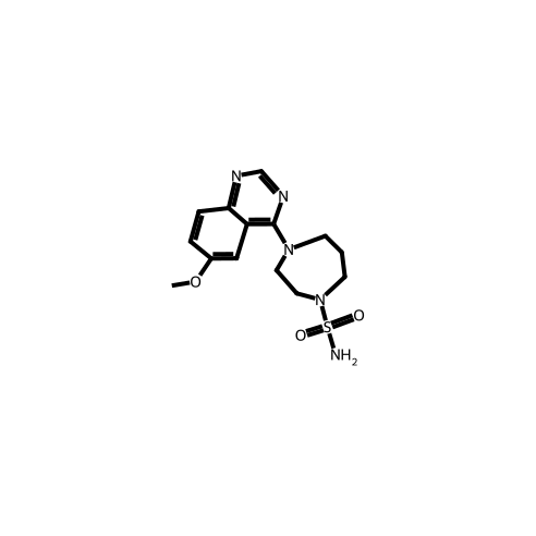 COc1ccc2ncnc(N3CCCN(S(N)(=O)=O)CC3)c2c1